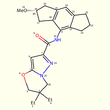 CCC1(CC)COc2cc(C(=O)Nc3c4c(cc5c3C[C@H](OC)C5)CCC4)nn2C1